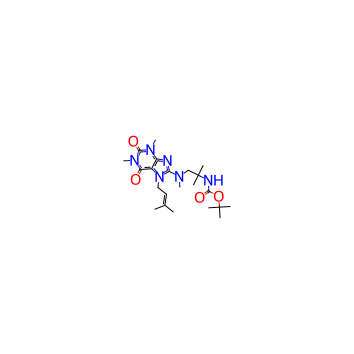 CC(C)=CCn1c(N(C)CC(C)(C)NC(=O)OC(C)(C)C)nc2c1c(=O)n(C)c(=O)n2C